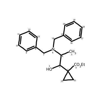 CCOC(=O)C1(C(O)C(C)N(Cc2ccccc2)Cc2ccccc2)CC1